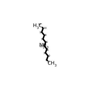 CCCCCCCCCCCC.N